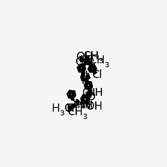 Cc1c(C(=O)O)c(-c2cccc(N3CCN(c4ccc(NS(=O)(=O)c5ccc(N[C@H](CCN(C)C)CSc6ccccc6)c(NO)c5)cc4)CC3)c2)c(-c2ccc(Cl)cc2)n1C